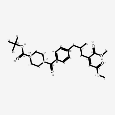 COC(=O)/C=C(/CC(C)Cc1ccc(C(=O)N2CCN(C(=O)OC(C)(C)C)CC2)cc1)C(=O)OC